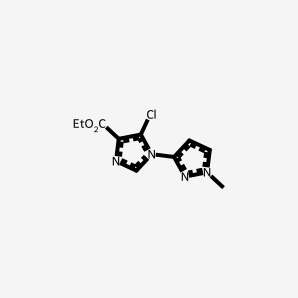 CCOC(=O)c1ncn(-c2ccn(C)n2)c1Cl